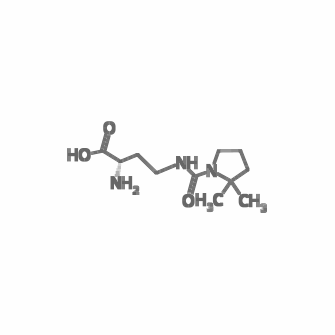 CC1(C)CCCN1C(=O)NCC[C@H](N)C(=O)O